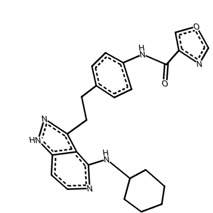 O=C(Nc1ccc(CCc2n[nH]c3ccnc(NC4CCCCC4)c23)cc1)c1cocn1